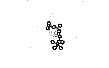 CC1(C)c2cc(-c3cc4c(-c5ccccc5)c(-c5ccccc5)n(-c5ccccc5)c4c4ccccc34)ccc2-c2ccc(N(c3ccccc3)c3ccc(-n4c5ccccc5c5ccccc54)cc3)cc21